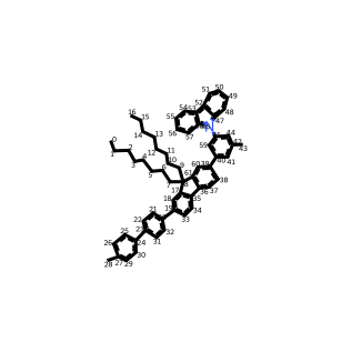 CCCCCCCCC1(CCCCCCCC)c2cc(-c3ccc(-c4ccc(C)cc4)cc3)ccc2-c2ccc(-c3cc(C)cc(-n4c5ccccc5c5ccccc54)c3)cc21